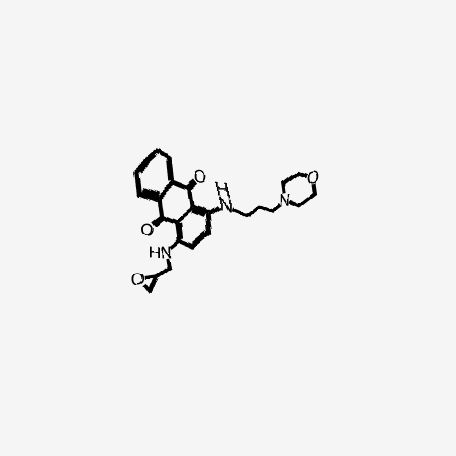 O=C1c2ccccc2C(=O)c2c(NCC3CO3)ccc(NCCCN3CCOCC3)c21